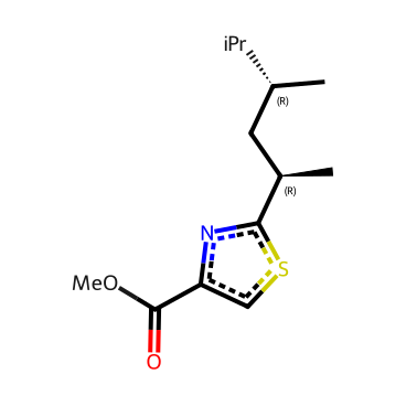 COC(=O)c1csc([C@H](C)C[C@@H](C)C(C)C)n1